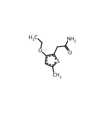 CCOc1cc(C)sc1CC(N)=O